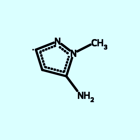 Cn1n[c]cc1N